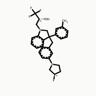 Cc1cccc(C2(Cc3cccc(N4CC[C@@H](F)C4)c3)CN(C[C@@H](O)C(F)(F)F)c3ccccc32)c1